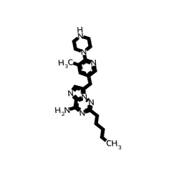 CCCCCc1nc(N)c2ncc(Cc3cnc(N4CCNCC4)c(C)c3)n2n1